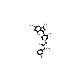 Cc1cn2c(C)nc(-c3ccc(NC(=O)[C@H](O)c4cccc(F)c4)cc3C)c2c(N)n1